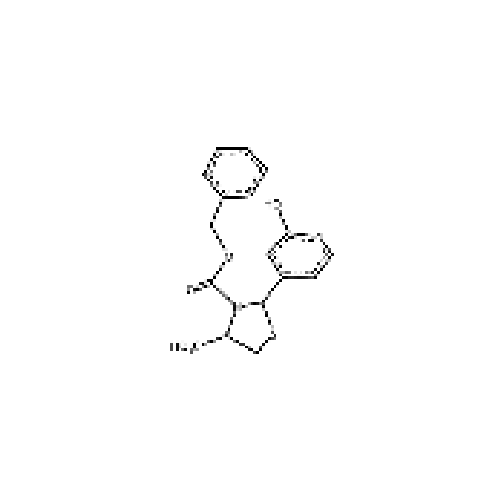 O=C(O)C1CSC(c2ccnc(O)c2)N1C(=O)OCc1ccccc1